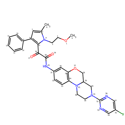 COCCn1c(C)cc(-c2ccccc2)c1C(=O)C(=O)Nc1ccc2c(c1)OCC1CN(c3ncc(F)cn3)CCN21